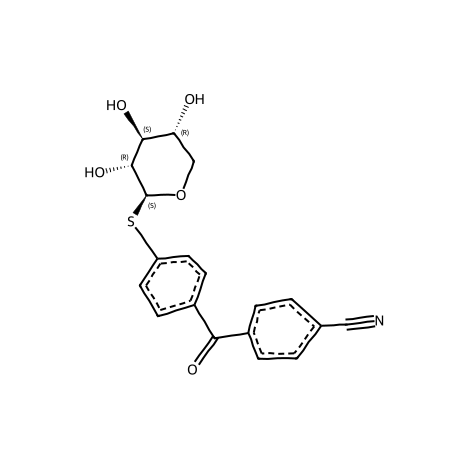 N#Cc1ccc(C(=O)c2ccc(S[C@@H]3OC[C@@H](O)[C@H](O)[C@H]3O)cc2)cc1